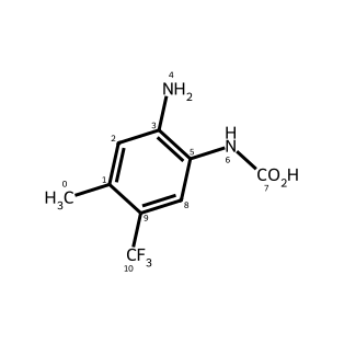 Cc1cc(N)c(NC(=O)O)cc1C(F)(F)F